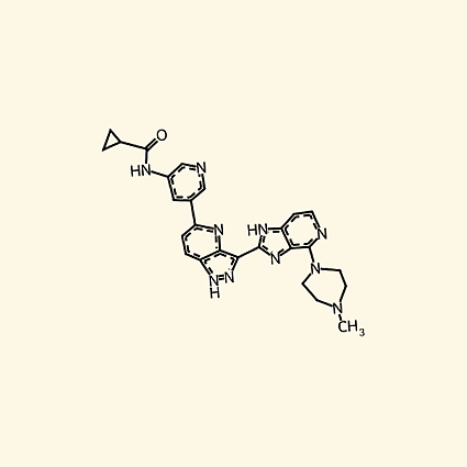 CN1CCN(c2nccc3[nH]c(-c4n[nH]c5ccc(-c6cncc(NC(=O)C7CC7)c6)nc45)nc23)CC1